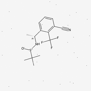 C[C@@H](N[S+]([O-])C(C)(C)C)c1cccc(C#N)c1C(F)(F)F